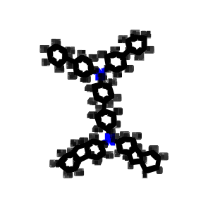 C1=CC2=Cc3cc(N(c4ccc(-c5ccc(N(c6ccc(-c7ccccc7)cc6)c6ccc(-c7ccccc7)cc6)cc5)cc4)c4ccc5c(c4)Cc4ccccc4-5)ccc3C2C=C1